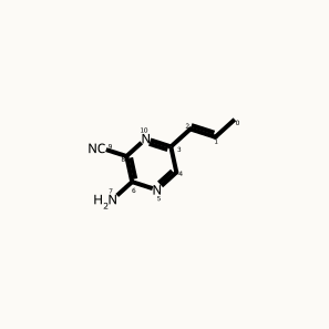 C/C=C/c1cnc(N)c(C#N)n1